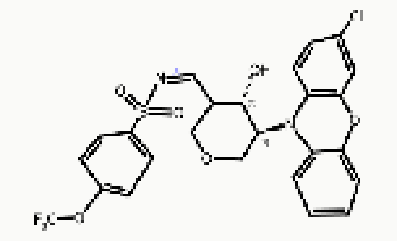 O=S(=O)(/N=C\C1COC[C@H](N2c3ccccc3Oc3cc(Cl)ccc32)[C@H]1O)c1ccc(OC(F)(F)F)cc1